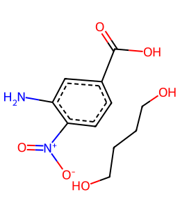 Nc1cc(C(=O)O)ccc1[N+](=O)[O-].OCCCCO